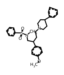 COc1ccc(C(CCN2CCC(c3ccccc3)CC2)CN(C)S(=O)(=O)c2ccccc2)cc1